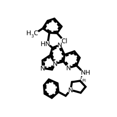 Cc1cccc(Cl)c1Nc1nc2ccc(N[C@@H]3CCN(Cc4ccccc4)C3)nc2n2cncc12